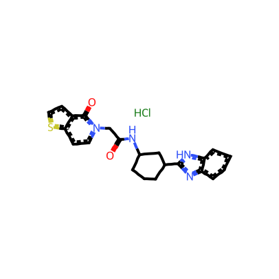 Cl.O=C(Cn1ccc2sccc2c1=O)NC1CCCC(c2nc3ccccc3[nH]2)C1